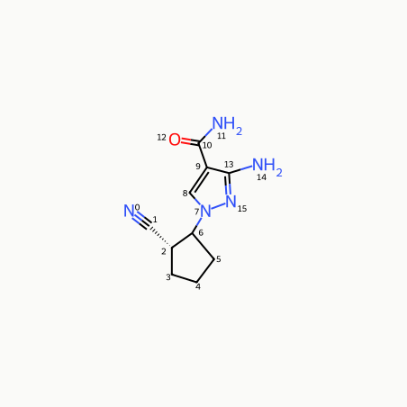 N#C[C@H]1CCCC1n1cc(C(N)=O)c(N)n1